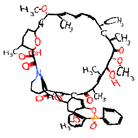 COC1CC(C[C@@H]2C3CC(=O)C(C)/C=C(\C)C(O)[C@@H](OC)C(=O)C(C)C[C@H](C)/C=C/C=C/C=C(\C)[C@@H](OC)C[C@@H]4CCC(C)C(O)(O4)C(=O)C(=O)N4CCCC2C4C(=O)O3)CC[C@H]1OP(=O)(c1ccccc1)c1ccccc1